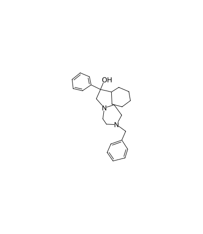 OC(CN1CCN(Cc2ccccc2)CC1)(c1ccccc1)C1CCCCC1